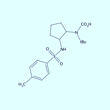 Cc1ccc(S(=O)(=O)NC2CCCC2N(C(=O)O)C(C)(C)C)cc1